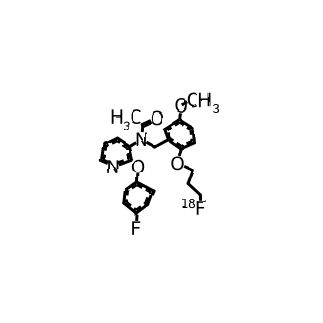 COc1ccc(OCCC[18F])c(CN(C(C)=O)c2cccnc2Oc2ccc(F)cc2)c1